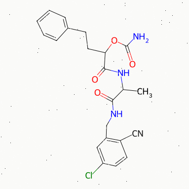 CC(NC(=O)C(CCc1ccccc1)OC(N)=O)C(=O)NCc1cc(Cl)ccc1C#N